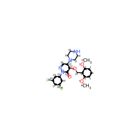 COc1cccc(OC)c1COc1c(N2CCNCC2)cnn(-c2cc(F)cc(F)c2)c1=O